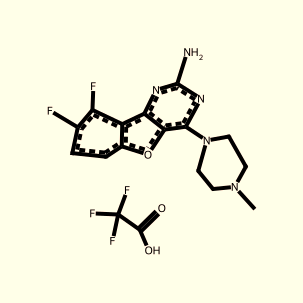 CN1CCN(c2nc(N)nc3c2oc2ccc(F)c(F)c23)CC1.O=C(O)C(F)(F)F